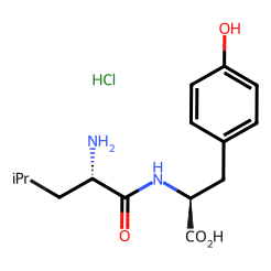 CC(C)C[C@H](N)C(=O)N[C@@H](Cc1ccc(O)cc1)C(=O)O.Cl